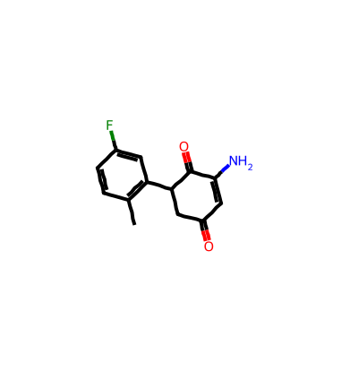 Cc1ccc(F)cc1C1CC(=O)C=C(N)C1=O